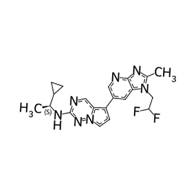 Cc1nc2ncc(-c3ccn4nc(N[C@@H](C)C5CC5)ncc34)cc2n1CC(F)F